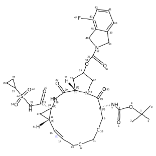 CC(C)(C)OC(=O)N[C@@H]1CCCCC/C=C\[C@@H]2C[C@@]2(C(=O)NS(=O)(=O)C2CC2)NC(=O)[C@@H]2CC(OC(=O)N3Cc4cccc(F)c4C3)CN2C1=O